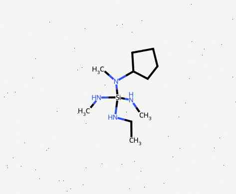 CCN[Si](NC)(NC)N(C)C1CCCC1